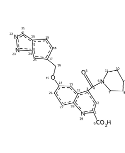 O=C(O)c1cc(C(=O)N2CCCCC2)c2cc(OCc3ccc4snnc4c3)ccc2n1